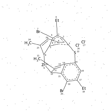 CCc1cc2c3c(c1Br)[CH]([Zr+2][CH]1C(C)=Cc4c(cc(CC)c(Br)c41)S2)C(C)=C3.[Cl-].[Cl-]